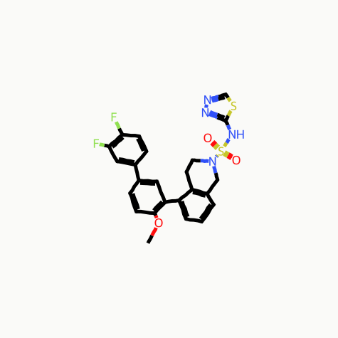 COc1ccc(-c2ccc(F)c(F)c2)cc1-c1cccc2c1CCN(S(=O)(=O)Nc1nncs1)C2